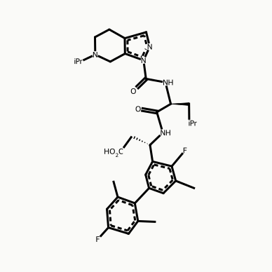 Cc1cc(-c2c(C)cc(F)cc2C)cc([C@H](CC(=O)O)NC(=O)[C@H](CC(C)C)NC(=O)n2ncc3c2CN(C(C)C)CC3)c1F